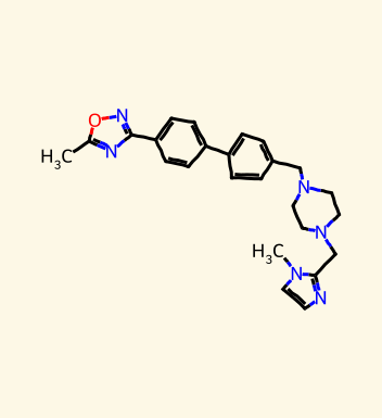 Cc1nc(-c2ccc(-c3ccc(CN4CCN(Cc5nccn5C)CC4)cc3)cc2)no1